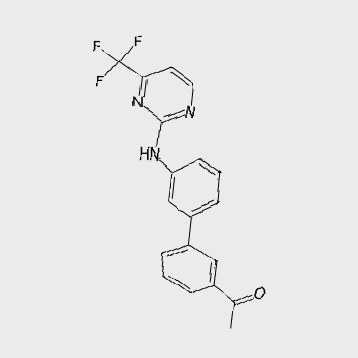 CC(=O)c1cccc(-c2cccc(Nc3nccc(C(F)(F)F)n3)c2)c1